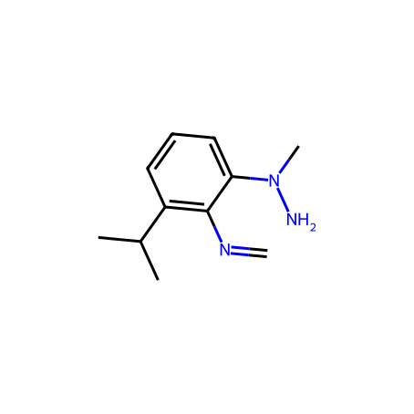 C=Nc1c(C(C)C)cccc1N(C)N